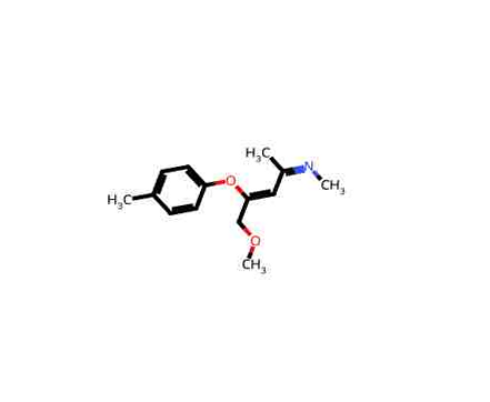 C/N=C(C)\C=C(\COC)Oc1ccc(C)cc1